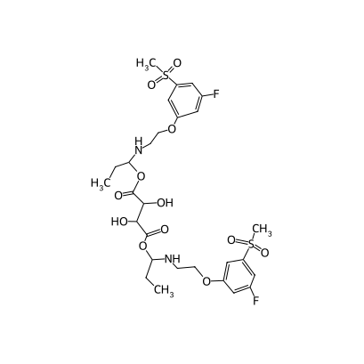 CCC(NCCOc1cc(F)cc(S(C)(=O)=O)c1)OC(=O)C(O)C(O)C(=O)OC(CC)NCCOc1cc(F)cc(S(C)(=O)=O)c1